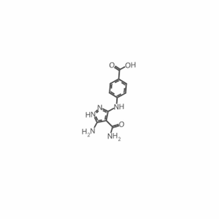 NC(=O)c1c(Nc2ccc(C(=O)O)cc2)n[nH]c1N